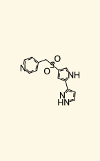 O=S(=O)(Cc1ccncc1)c1c[nH]c(-c2cc[nH]n2)c1